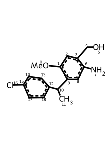 COc1cc(CO)c(N)cc1C(C)c1ccc(Cl)cc1